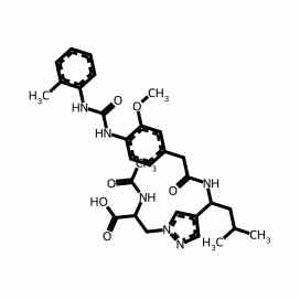 COc1cc(CC(=O)NC(CC(C)C)c2cnn(CC(NC(C)=O)C(=O)O)c2)ccc1NC(=O)Nc1ccccc1C